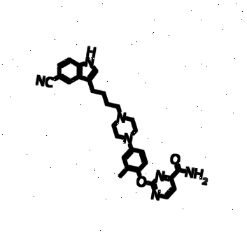 Cc1cc(N2CCN(CCCCc3c[nH]c4ccc(C#N)cc34)CC2)ccc1Oc1nccc(C(N)=O)n1